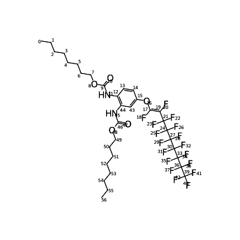 CCCCCCCCOC(=O)Nc1ccc(OC(F)=C(F)C(F)(F)C(F)(F)C(F)(F)C(F)(F)C(F)(F)C(F)(F)C(F)(F)F)cc1NC(=O)OCCCCCCCC